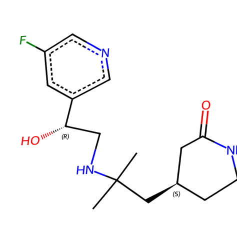 CC(C)(C[C@@H]1CCNC(=O)C1)NC[C@H](O)c1cncc(F)c1